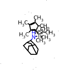 CC1=C(C)C(C)[C]([Ti]([CH3])([CH3])([NH]C2C3CC4CC(C3)CC2C4)[SiH](C)C)=C1C